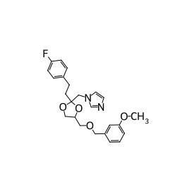 COc1cccc(COCC2COC(CCc3ccc(F)cc3)(Cn3ccnc3)O2)c1